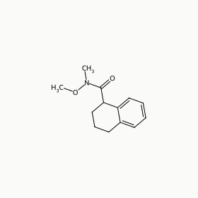 CON(C)C(=O)C1CCCc2ccccc21